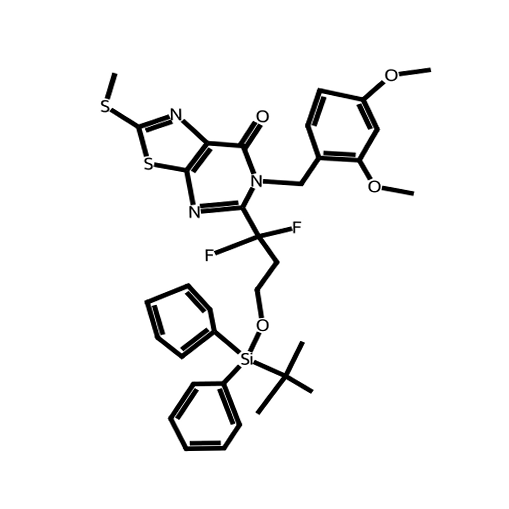 COc1ccc(Cn2c(C(F)(F)CCO[Si](c3ccccc3)(c3ccccc3)C(C)(C)C)nc3sc(SC)nc3c2=O)c(OC)c1